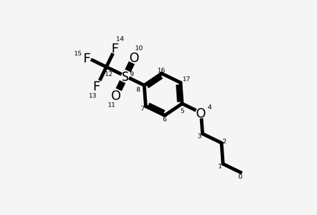 CCCCOc1ccc(S(=O)(=O)C(F)(F)F)cc1